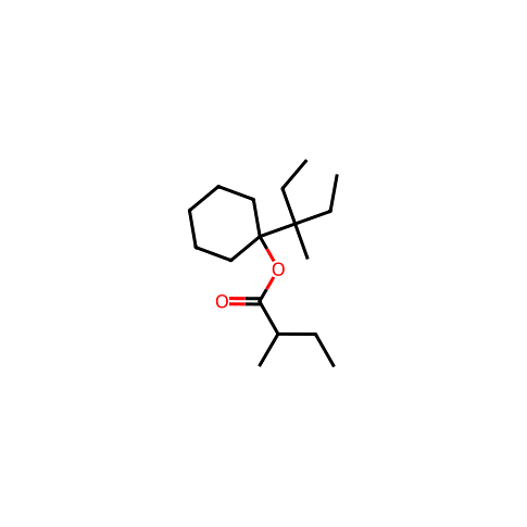 CCC(C)C(=O)OC1(C(C)(CC)CC)CCCCC1